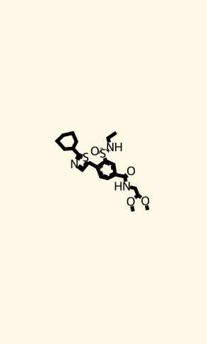 CCN[S+]([O-])c1cc(C(=O)NCC(OC)OC)ccc1-c1cnc(C2CCCCC2)s1